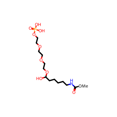 COC(=O)NCCCCCC(O)OCCOCCOCCOP(=O)(O)O